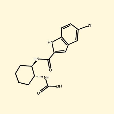 O=C(O)N[C@@H]1CCCC[C@H]1NC(=O)c1cc2cc(Cl)ccc2[nH]1